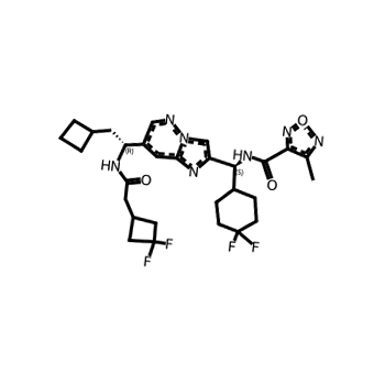 Cc1nonc1C(=O)N[C@H](c1cn2ncc([C@@H](CC3CCC3)NC(=O)CC3CC(F)(F)C3)cc2n1)C1CCC(F)(F)CC1